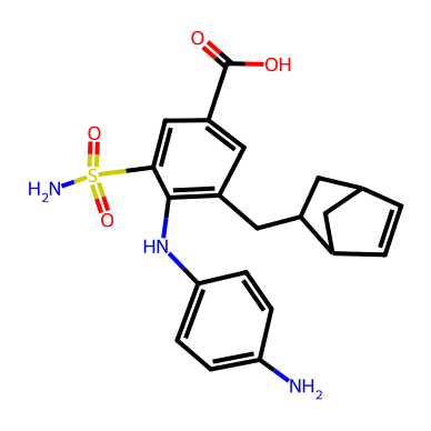 Nc1ccc(Nc2c(CC3CC4C=CC3C4)cc(C(=O)O)cc2S(N)(=O)=O)cc1